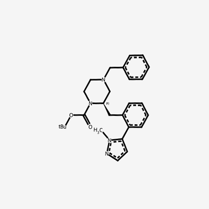 Cn1nccc1-c1ccccc1C[C@@H]1CN(Cc2ccccc2)CCN1C(=O)OC(C)(C)C